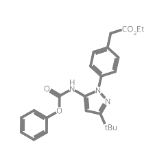 CCOC(=O)Cc1ccc(-n2nc(C(C)(C)C)cc2NC(=O)Oc2ccccc2)cc1